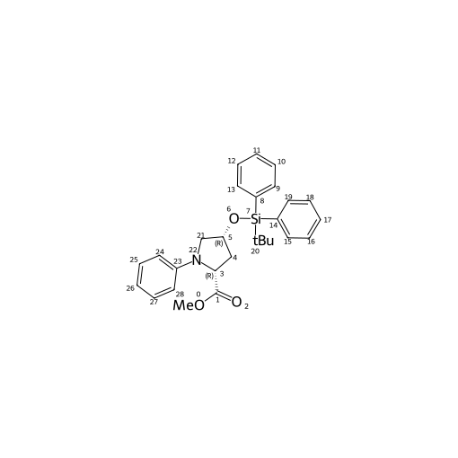 COC(=O)[C@H]1C[C@@H](O[Si](c2ccccc2)(c2ccccc2)C(C)(C)C)CN1c1ccccc1